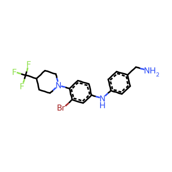 NCc1ccc(Nc2ccc(N3CCC(C(F)(F)F)CC3)c(Br)c2)cc1